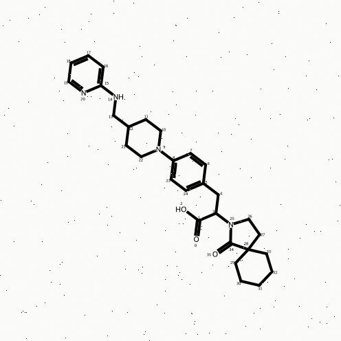 O=C(O)C(Cc1ccc(N2CCC(CNc3ccccn3)CC2)cc1)N1CCC2(CCCCC2)C1=O